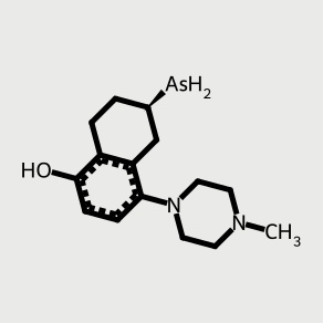 CN1CCN(c2ccc(O)c3c2C[C@H]([AsH2])CC3)CC1